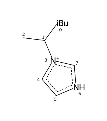 CCC(C)C(C)[n+]1cc[nH]c1